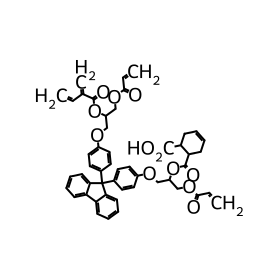 C=CC(=C)C(=O)OC(COC(=O)C=C)COc1ccc(C2(c3ccc(OCC(COC(=O)C=C)OC(=O)C4CC=CCC4C(=O)O)cc3)c3ccccc3-c3ccccc32)cc1